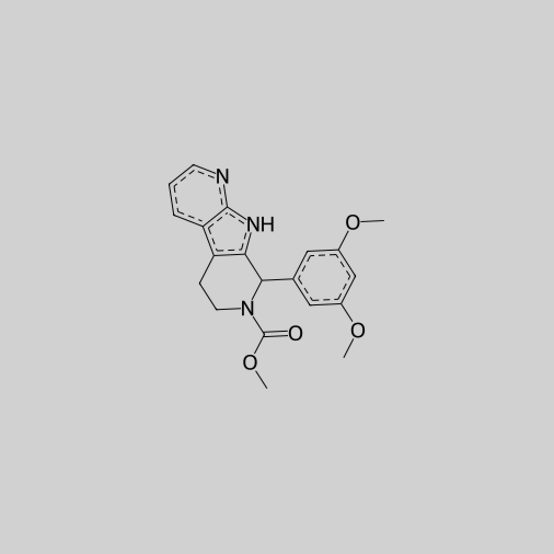 COC(=O)N1CCc2c([nH]c3ncccc23)C1c1cc(OC)cc(OC)c1